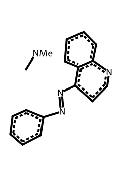 CNC.c1ccc(N=Nc2ccnc3ccccc23)cc1